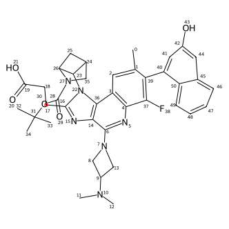 Cc1cc2c(nc(N3CC(N(C)C)C3)c3nc(CCC(=O)O)n(C4C5CC4N(C(=O)OC(C)(C)C)C5)c32)c(F)c1-c1cc(O)cc2ccccc12